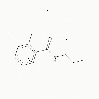 CC[CH]NC(=O)c1ccccc1C